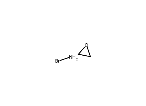 C1CO1.NBr